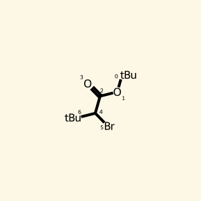 CC(C)(C)OC(=O)C(Br)C(C)(C)C